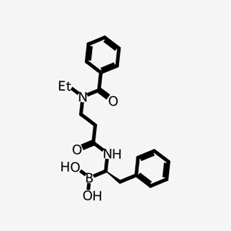 CCN(CCC(=O)N[C@@H](Cc1ccccc1)B(O)O)C(=O)c1ccccc1